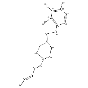 C/C=C/CCC1CCC(COc2ccc(C)c(F)c2F)CC1